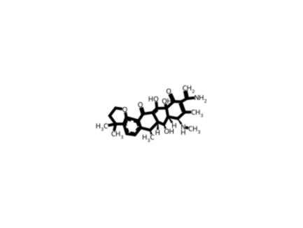 C=C(N)C1=C(C)[C@@H](NC)[C@@H]2[C@@H](O)[C@H]3C(=C(O)C2(O)C1=O)C(=O)c1c(ccc2c1OCCC2(C)C)[C@@H]3C